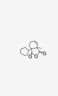 CC12C=CCCC1(C1CCCCC1)C(=O)OC2=O